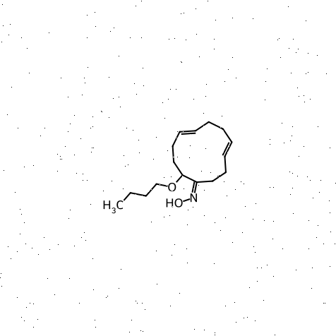 CCCCOC1CC/C=C/CC/C=C/CC/C1=N/O